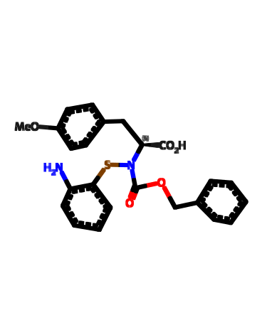 COc1ccc(C[C@@H](C(=O)O)N(Sc2ccccc2N)C(=O)OCc2ccccc2)cc1